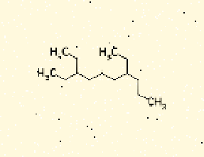 CCCC(CC)C[CH]CC(CC)CC